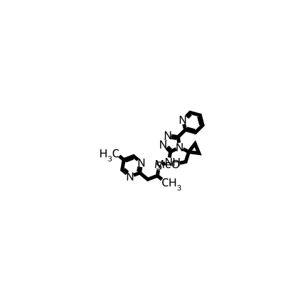 COCC1(n2c(NSC(C)Cc3ncc(C)cn3)nnc2-c2ccccn2)CC1